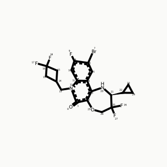 O=c1c2c(c3cc(Br)c(F)cc3n1CC1CC(F)(F)C1)N[C@@H](C1CC1)C(F)(F)CO2